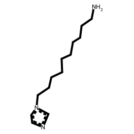 NCCCCCCCCCCn1ccnc1